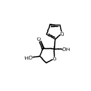 O=C1C(O)COC1(O)c1ccco1